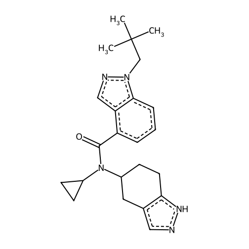 CC(C)(C)Cn1ncc2c(C(=O)N(C3CC3)C3CCc4[nH]ncc4C3)cccc21